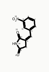 O=C1CC(=Cc2cccc([N+](=O)[O-])c2)C(=O)N1